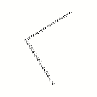 [K+].[K+].[K+].[K+].[K+].[K+].[K+].[K+].[K+].[K+].[K+].[K+].[K+].[K+].[K+].[K+].[K+].[K+].[K+].[K+].[K+].[K+].[K+].[K+].[K+].[K+].[K+].[K+].[K+].[K+].[K+].[K+].[K+].[K+].[K+].[K+].[K+].[K+].[K+].[K+].[K+].[K+].[K+].[K+].[K+]